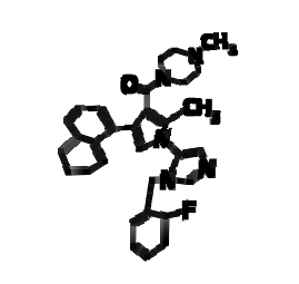 Cc1c(C(=O)N2CCN(C)CC2)c(-c2cccc3ccccc23)cn1-c1cncn1Cc1ccccc1F